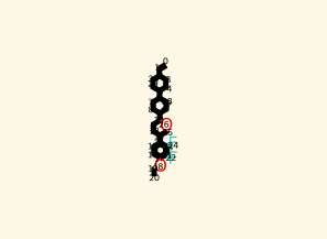 C=CC1CCC(C2CCC(C3CCC(c4ccc(OCC)c(F)c4F)CO3)CC2)CC1